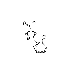 COC(=O)c1nnc(-c2ncccc2Cl)o1